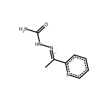 C/C(=N\NC(N)=O)c1ccccn1